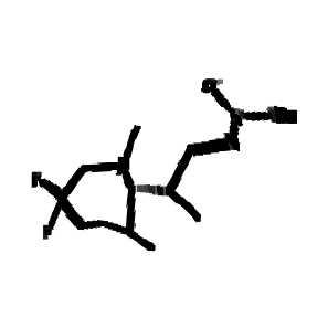 CC(/C=N/[S+]([O-])C(C)(C)C)[C@@H]1C(C)CC(F)(F)CN1C